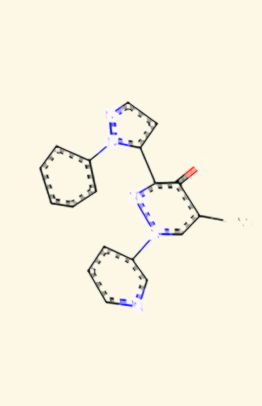 COc1cn(-c2cccnc2)nc(-c2ccnn2-c2ccccc2)c1=O